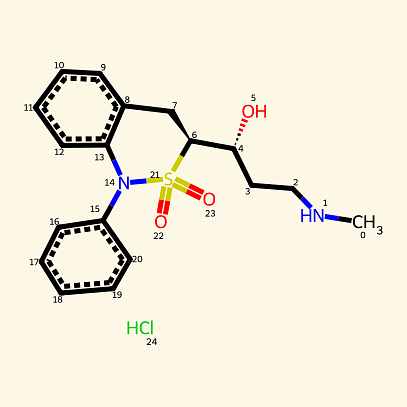 CNCC[C@@H](O)[C@@H]1Cc2ccccc2N(c2ccccc2)S1(=O)=O.Cl